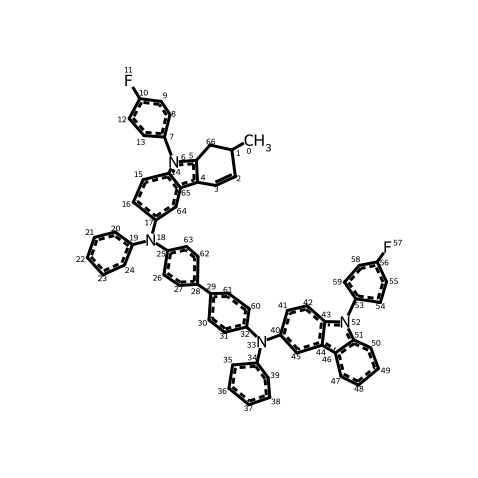 CC1C=Cc2c(n(-c3ccc(F)cc3)c3ccc(N(c4ccccc4)c4ccc(-c5ccc(N(c6ccccc6)c6ccc7c(c6)c6ccccc6n7-c6ccc(F)cc6)cc5)cc4)cc23)C1